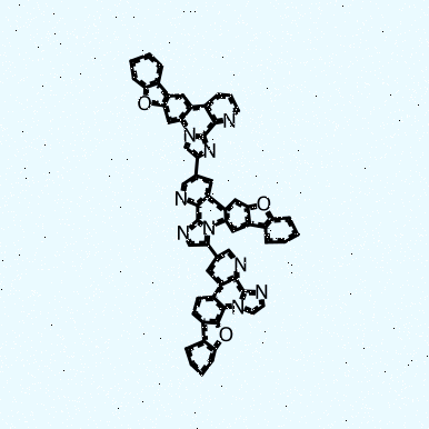 c1ccc2c(c1)oc1cc3c(cc12)c1cccnc1c1nc(-c2cnc4c(c2)c2cc5oc6ccccc6c5cc2n2c(-c5cnc6c(c5)c5ccc7c8ccccc8oc7c5n5ccnc65)cnc42)cn31